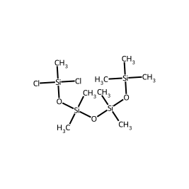 C[Si](C)(C)O[Si](C)(C)O[Si](C)(C)O[Si](C)(Cl)Cl